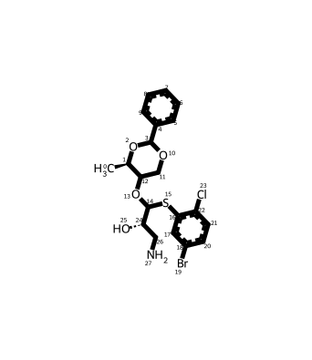 C[C@H]1OC(c2ccccc2)OCC1OC(Sc1cc(Br)ccc1Cl)[C@@H](O)CN